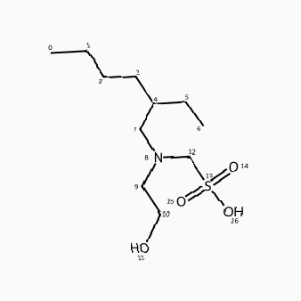 CCCCC(CC)CN(CCO)CS(=O)(=O)O